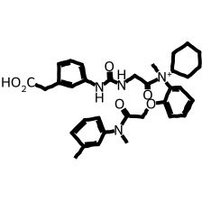 Cc1cccc(N(C)C(=O)COc2ccccc2[N+](C)(C(=O)CNC(=O)Nc2cccc(CC(=O)O)c2)C2CCCCC2)c1